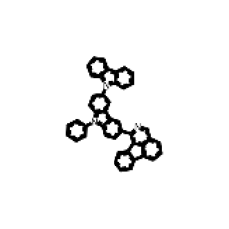 c1ccc(-n2c3ccc(-c4ncc5cccc6c5c4-c4ccccc4-6)cc3c3cc(-n4c5ccccc5c5ccccc54)ccc32)cc1